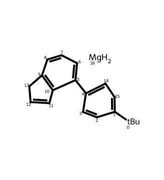 CC(C)(C)c1ccc(-c2cccc3c2C=CC3)cc1.[MgH2]